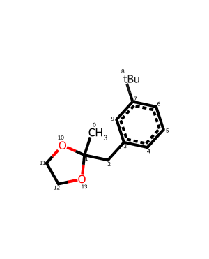 CC1(Cc2cccc(C(C)(C)C)c2)OCCO1